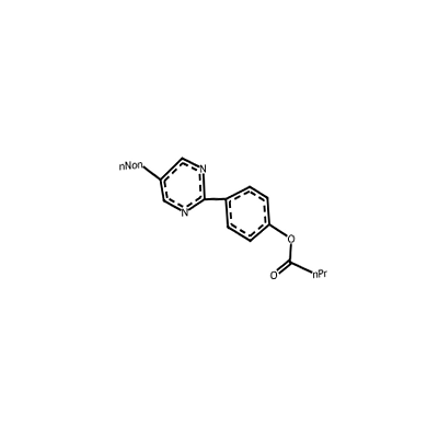 CCCCCCCCCc1cnc(-c2ccc(OC(=O)CCC)cc2)nc1